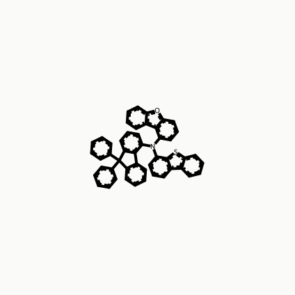 c1ccc(C2(c3ccccc3)c3ccccc3-c3c(N(c4cccc5c4sc4ccccc45)c4cccc5oc6ccccc6c45)cccc32)cc1